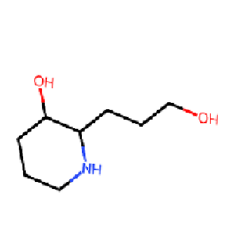 OCCCC1NCCCC1O